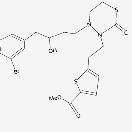 COC(=O)c1ccc(CCN2C(=O)SCCN2CCC(O)Cc2cccc(Br)c2)s1